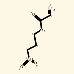 C=CC(=O)OCCC[SH](=O)=O